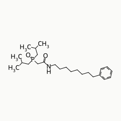 CC(C)CP(=O)(CC(=O)NCCCCCCCCc1ccccc1)CC(C)C